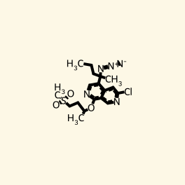 CCCC(C)(N=[N+]=[N-])c1cnc(OC(C)CCS(C)(=O)=O)c2cnc(Cl)cc12